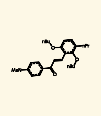 CCCCOc1ccc(CCC)c(OCCCC)c1C=CC(=O)c1ccc(NC)cc1